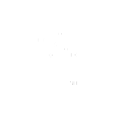 Cl.O=S(=O)(OC1=CCNCC1)C(F)(F)F